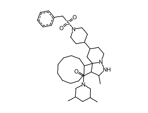 CC1CC(C)CN(C(=O)C2C(C)NN3CCC(C4CCN(S(=O)(=O)Cc5ccccc5)CC4)CC23C2CCCCCCCCC2)C1